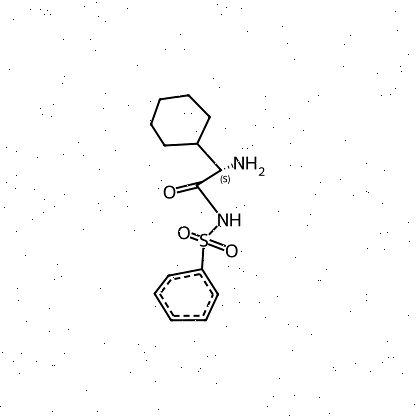 N[C@H](C(=O)NS(=O)(=O)c1ccccc1)C1CCCCC1